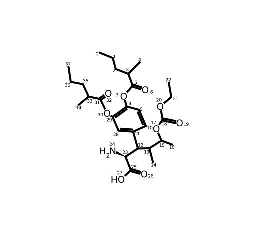 CCCC(C)C(=O)Oc1ccc(C(C(C)C(C)OC(=O)OCC)[C@H](N)C(=O)O)cc1OC(=O)C(C)CCC